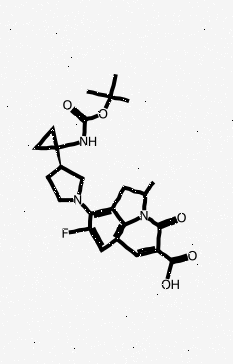 CC1Cc2c(N3CC[C@@H](C4(NC(=O)OC(C)(C)C)CC4)C3)c(F)cc3cc(C(=O)O)c(=O)n1c23